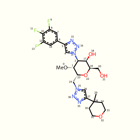 CO[C@@H]1[C@@H](n2cc(-c3cc(F)c(F)c(F)c3)nn2)[C@@H](O)[C@@H](CO)O[C@@H]1Cn1cc(C2(C)CCOCC2)nn1